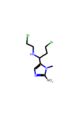 Cn1c(C(CCBr)NCCBr)cnc1[N+](=O)[O-]